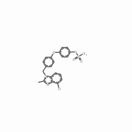 Cc1nc2c(Cl)cccc2n1Cc1ccc(Oc2ccc(OS(=O)(=O)C(F)(F)F)cc2)cc1